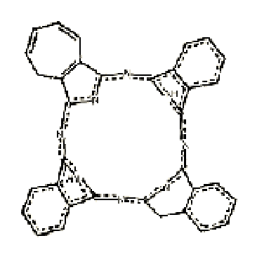 C1=CCC2=C(C=C1)c1nc2nc2[nH]c(nc3nc(nc4[nH]c(n1)c1ccccc41)-c1ccccc1C3)c1ccccc21